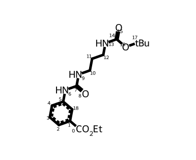 CCOC(=O)c1cccc(NC(=O)NCCCNC(=O)OC(C)(C)C)c1